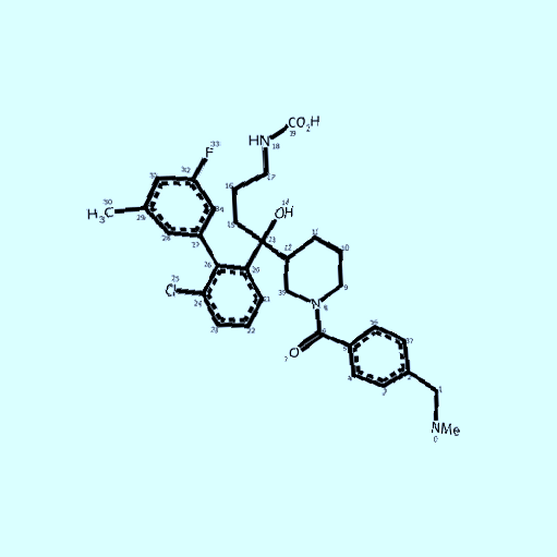 CNCc1ccc(C(=O)N2CCCC(C(O)(CCCNC(=O)O)c3cccc(Cl)c3-c3cc(C)cc(F)c3)C2)cc1